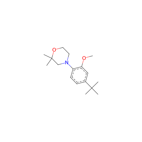 COc1cc(C(C)(C)C)ccc1N1CCOC(C)(C)C1